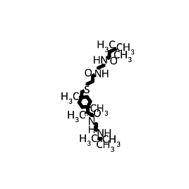 C[C@H](C(=O)NCCNC(C)(C)C)[C@]1(C)CC[C@](C)(CSCCC(=O)NCCNC(=O)CC(C)(C)C)CC1